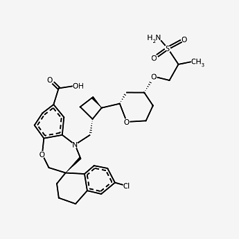 CC(CO[C@@H]1CCO[C@H]([C@@H]2CC[C@H]2CN2C[C@@]3(CCCc4cc(Cl)ccc43)COc3ccc(C(=O)O)cc32)C1)S(N)(=O)=O